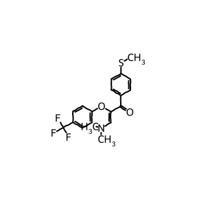 CSc1ccc(C(=O)/C(=C/N(C)C)Oc2ccc(C(F)(F)F)cc2)cc1